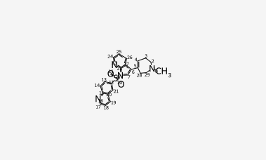 CN1CCC=C(c2cn(S(=O)(=O)c3ccc4ncccc4c3)c3ncccc23)CC1